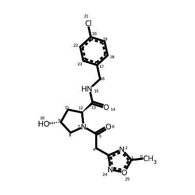 Cc1nc(CC(=O)N2C[C@H](O)C[C@H]2C(=O)NCc2ccc(Cl)cc2)no1